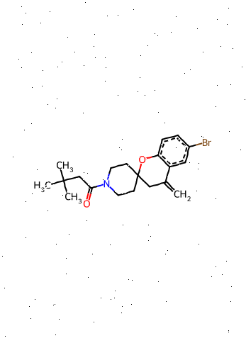 C=C1CC2(CCN(C(=O)CC(C)(C)C)CC2)Oc2ccc(Br)cc21